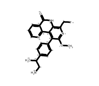 COc1nc(CF)c2[nH]c(=O)c3cccnc3c2c1-c1ccc(C(C)CN)cc1